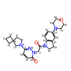 O=C(Cn1nc(N2CCC3(CCC3)C2)ccc1=O)N1CCc2cc(N3CCOCC3)ccc21